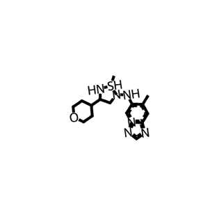 Cc1cc2ncnn2cc1NN1CC(C2CCOCC2)N[SH]1C